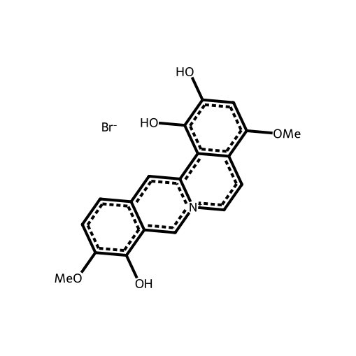 COc1ccc2cc3c4c(O)c(O)cc(OC)c4cc[n+]3cc2c1O.[Br-]